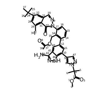 COC(=O)C(C)(C)n1cc(-c2cc(-c3cccc(-n4ncc5cc(C(C)(C)C)cc(F)c5c4=O)c3COC(C)=O)cc3c(N)n[nH]c23)cn1